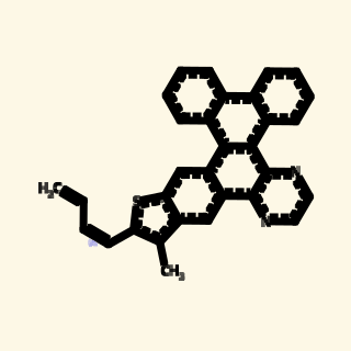 C=C/C=C\c1sc2cc3c(cc2c1C)c1nccnc1c1c2ccccc2c2ccccc2c31